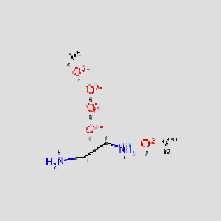 NCCN.[O-2].[O-2].[O-2].[O-2].[O-2].[V+5].[V+5]